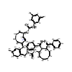 Cc1cc(C)cc(NC(=O)OC2/C=C/C(Cc3cc(C)ccc3CNC(=O)OC3CCCCCC4C(c5ccccc5)=NN=C(c5ccccc5)C34)CCCC2)c1